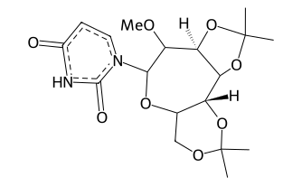 COC1C(n2ccc(=O)[nH]c2=O)OC2COC(C)(C)O[C@H]2C2OC(C)(C)O[C@H]12